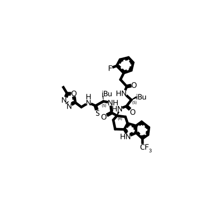 CCC(C)[C@H](NC(=O)Cc1ccccc1F)C(=O)N[C@]1(C(=O)N[C@H](C(=S)NCc2nnc(C)o2)C(C)CC)CCc2[nH]c3c(C(F)(F)F)cccc3c2C1